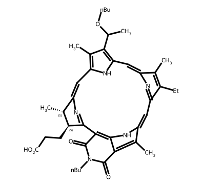 CCCCOC(C)c1c(C)c2cc3nc(c4c5[nH]c(cc6nc(cc1[nH]2)C(C)=C6CC)c(C)c5C(=O)N(CCCC)C4=O)[C@@H](CCC(=O)O)[C@@H]3C